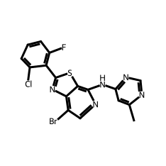 Cc1cc(Nc2ncc(Br)c3nc(-c4c(F)cccc4Cl)sc23)ncn1